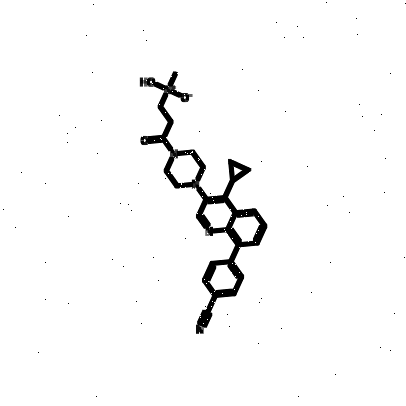 C[N+]([O-])(O)CCC(=O)N1CCN(c2cnc3c(-c4ccc(C#N)cc4)cccc3c2C2CC2)CC1